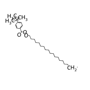 [CH2]CCCCCCCCCCCCCCCCCOOC(=O)c1ccc([Si](C)(C)C)cc1